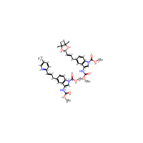 CC(C)(C)OC(=O)Nc1cn(C(=O)OC(C)(C)C)c2ccc(C/C=C/B3OC(C)(C)C(C)(C)O3)cc12.CC(C)(C)OC(=O)Nc1cn(C(=O)OC(C)(C)C)c2ccc(C/C=C/c3ccc(C(F)(F)F)cn3)cc12